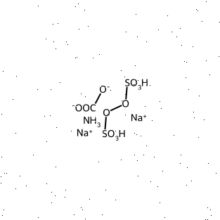 N.O=C([O-])[O-].O=S(=O)(O)OOS(=O)(=O)O.[Na+].[Na+]